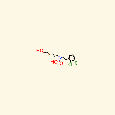 O=C(O)N(CCCSCCO)CCc1cccc(Cl)c1Cl